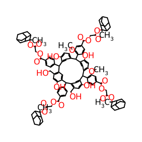 COc1cc(O)c2cc1C(c1ccc(C(=O)OCC(=O)OC3(C)C4CC5CC(C4)CC3C5)cc1)c1cc(c(OC)cc1O)C(c1ccc(C(=O)OCC(=O)OC3(C)C4CC5CC(C4)CC3C5)cc1)c1cc(c(CO)cc1O)C(c1ccc(C(=O)OCC(=O)OC3(C)C4CC5CC(C4)CC3C5)cc1)c1cc(c(CO)cc1O)C2c1ccc(C(=O)OCC(=O)OC2(C)C3CC4CC(C3)CC2C4)cc1